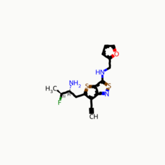 C#Cc1c(C[C@@H](N)[C@H](C)F)sc2c(NCc3ccco3)snc12